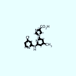 Cc1cc(Nc2cc(Cl)ccn2)nc(-n2cnc(C(=O)O)c2)c1